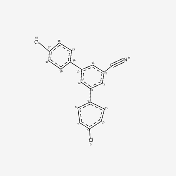 N#Cc1cc(-c2ccc(Cl)cc2)cc(-c2ccc(Cl)cc2)c1